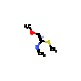 C=N/C(=C\OC)SC